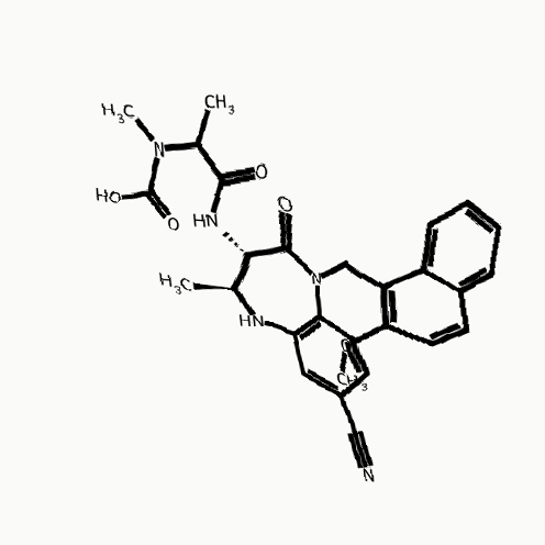 COc1ccc2ccccc2c1CN1C(=O)[C@@H](NC(=O)C(C)N(C)C(=O)O)[C@H](C)Nc2cc(C#N)ccc21